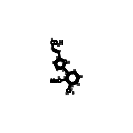 COc1c(-c2ccc(/C=C/C(=O)O)o2)cccc1C(F)(F)F